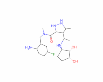 CC1NNC(C(=O)N(C)CC2CC(F)CCC2N)C1C(C)N[C@@H]1CC[C@@H](O)[C@H]1O